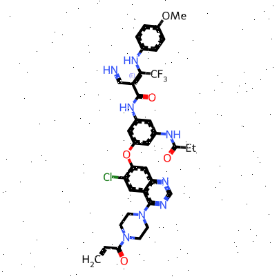 C=CC(=O)N1CCN(c2ncnc3cc(Oc4cc(NC(=O)CC)cc(NC(=O)/C(C=N)=C(/Nc5ccc(OC)cc5)C(F)(F)F)c4)c(Cl)cc23)CC1